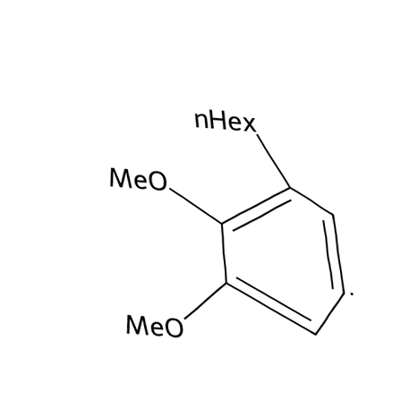 CCCCCCc1c[c]cc(OC)c1OC